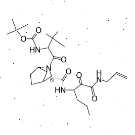 C=CCNC(=O)C(=O)C(CCC)NC(=O)[C@@H]1C2CCC(C2)N1C(=O)C(NC(=O)OC(C)(C)C)C(C)(C)C